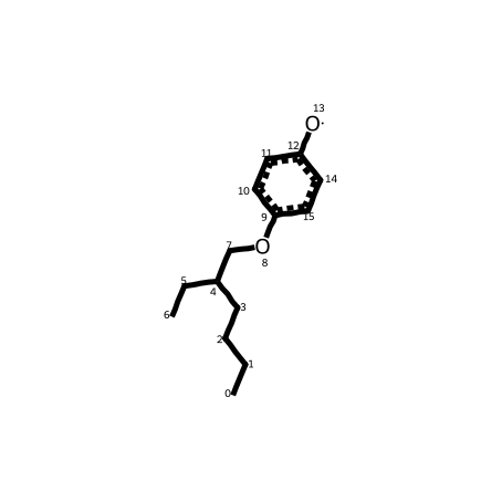 CCCCC(CC)COc1ccc([O])cc1